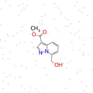 COC(=O)c1cnn2c(CO)cccc12